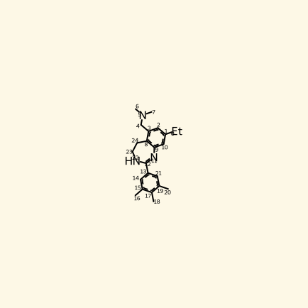 CCc1cc(CN(C)C)c2c(c1)N=C(c1cc(C)c(C)c(C)c1)NCC2